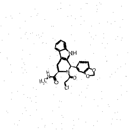 CNC(=O)[C@H]1Cc2c([nH]c3ccccc23)[C@@H](c2ccc3c(c2)OCO3)N1C(=O)CCl